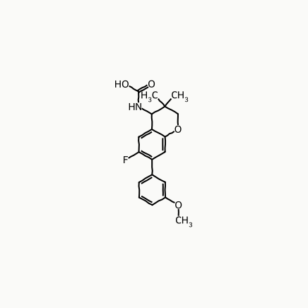 COc1cccc(-c2cc3c(cc2F)C(NC(=O)O)C(C)(C)CO3)c1